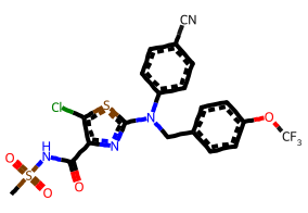 CS(=O)(=O)NC(=O)c1nc(N(Cc2ccc(OC(F)(F)F)cc2)c2ccc(C#N)cc2)sc1Cl